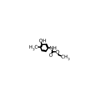 CCOC(=O)Nc1ccc(C)c(O)c1